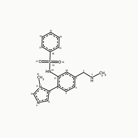 CNCc1ccc(-c2cncn2C)c(NS(=O)(=O)c2ccccc2)c1